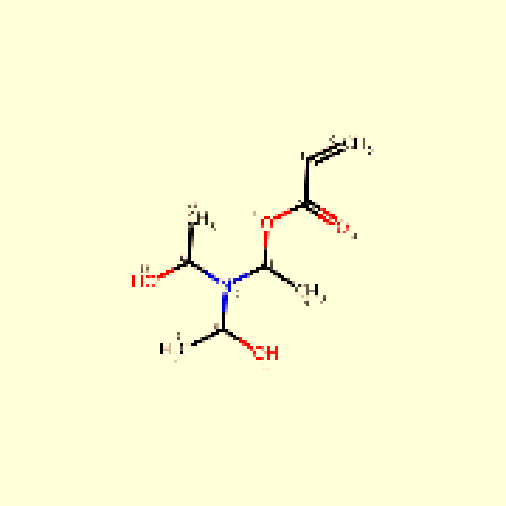 C=CC(=O)OC(C)N(C(C)O)C(C)O